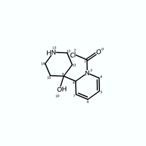 O=C(Cl)N1C=CC=CC1C1(O)CCNCC1